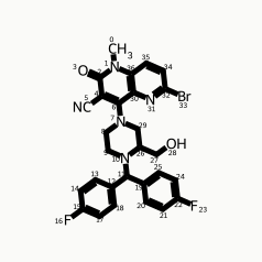 Cn1c(=O)c(C#N)c(N2CCN(C(c3ccc(F)cc3)c3ccc(F)cc3)C(CO)C2)c2nc(Br)ccc21